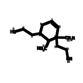 O=C(O)C1C(CCO)CC=CC1(CCO)C(=O)O